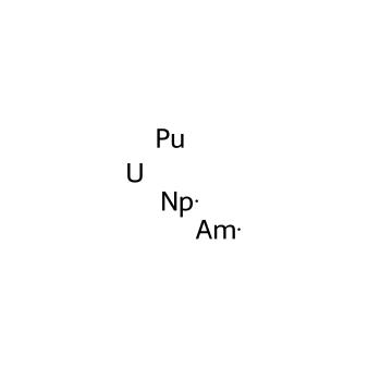 [Am].[Np].[Pu].[U]